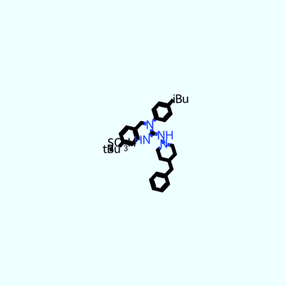 CCC(C)c1ccc(N(Cc2ccc(C(C)(C)C)cc2)C(=N)NN2CCC(Cc3ccccc3)CC2)cc1.CS(=O)(=O)O